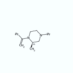 C=C(C(C)C)N1CCN(C(C)C)C[C@H]1C